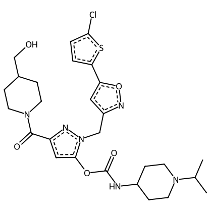 CC(C)N1CCC(NC(=O)Oc2cc(C(=O)N3CCC(CO)CC3)nn2Cc2cc(-c3ccc(Cl)s3)on2)CC1